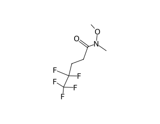 CON(C)C(=O)CCC(F)(F)C(F)(F)F